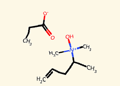 C=CCC(C)[N+](C)(C)O.CCC(=O)[O-]